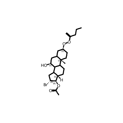 C=C(CCC)OO[C@H]1CC[C@@]2(C)C(C1)C[C@H](O)C1C3C[C@@H](Br)[C@H](OC(C)=O)[C@H]3CCC12